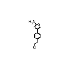 Nc1nc(-c2ccc(CCCl)cc2)cs1